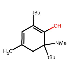 CNC1(C(C)(C)C)CC(C)=CC(C(C)(C)C)=C1O